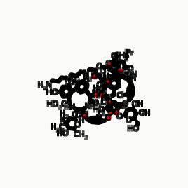 CC(C)C[C@H](C(=O)N[C@H]1C(=O)N[C@@H](CC(N)=O)C(=O)N[C@H]2C(=O)N[C@H]3C(=O)N[C@H](C(=O)N[C@H](C(=O)O)c4cc(O)cc(O)c4-c4cc3ccc4O)[C@H](O[C@H]3C[C@](C)(N)[C@@H](O)[C@H](C)O3)c3ccc(c(Cl)c3)Oc3cc2cc(c3O[C@@H]2O[C@H](CO)[C@@H](O)[C@H](O)[C@H]2O[C@H]2C[C@](C)(NCc3ccc(-c4ccc(Cl)cc4)cc3)[C@@H](O)[C@H](C)O2)Oc2ccc(cc2Cl)[C@H]1O)N(C)C(=O)OCOC(=O)CNCCCNCCCN